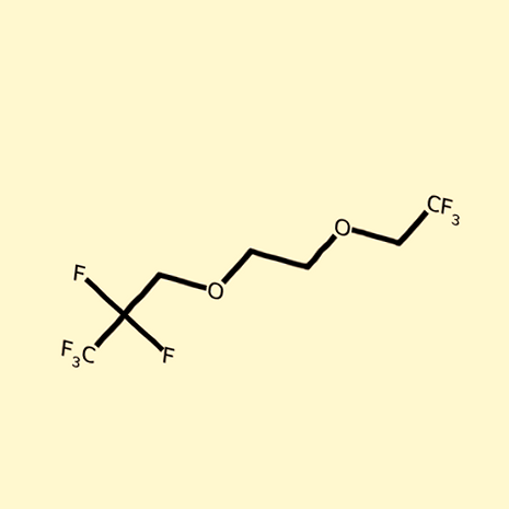 FC(F)(F)COCCOCC(F)(F)C(F)(F)F